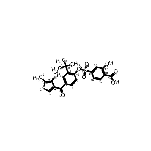 Cc1scc(C(=O)c2ccc(OS(=O)(=O)c3ccc(C(=O)O)c(O)c3)c(C(C)(C)C)c2)c1C